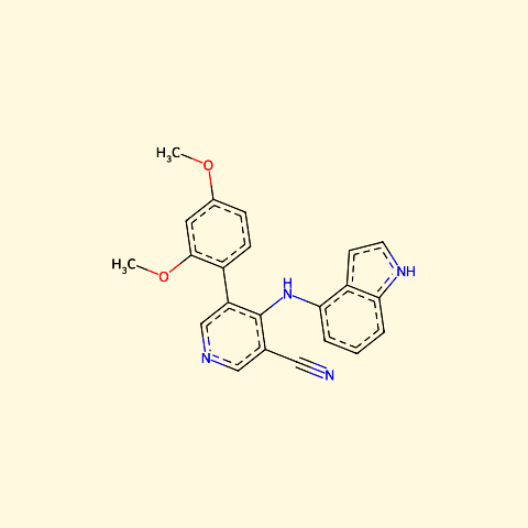 COc1ccc(-c2cncc(C#N)c2Nc2cccc3[nH]ccc23)c(OC)c1